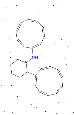 c1ccccc(NC2CCCCC2c2ccccccccc2)cccc1